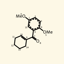 COc1ccc(OC)c(C(=O)C2=CCCCC2)c1